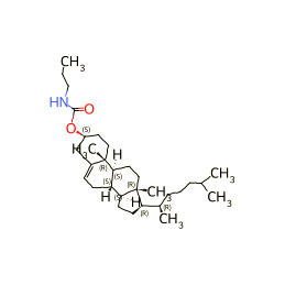 CCCNC(=O)O[C@H]1CC[C@@]2(C)C(=CC[C@H]3[C@@H]4CC[C@H]([C@H](C)CCCC(C)C)[C@@]4(C)CC[C@@H]32)C1